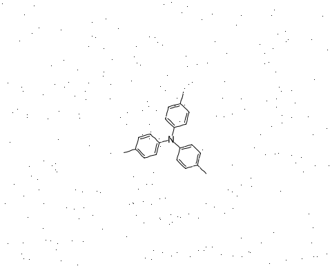 Cc1ccc(N(c2ccc(C)cc2)c2ccc(C)cc2)cc1